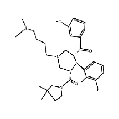 Cc1c(F)cccc1[C@@H]1[C@@H](C(=O)c2cccc(O)c2)CN(CCCCN(C)C)C[C@H]1C(=O)N1CCC(C)(C)C1